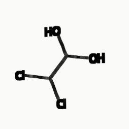 OC(O)C(Cl)Cl